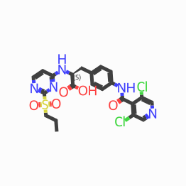 CCCS(=O)(=O)c1nccc(N[C@@H](Cc2ccc(NC(=O)c3c(Cl)cncc3Cl)cc2)C(=O)O)n1